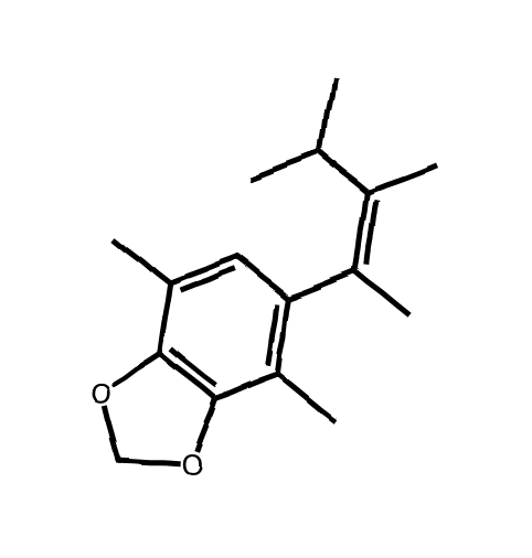 C/C(=C(\C)C(C)C)c1cc(C)c2c(c1C)OCO2